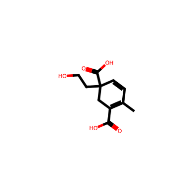 CC1=C(C(=O)O)CC(CCO)(C(=O)O)C=C1